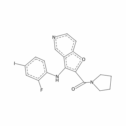 O=C(c1oc2ccncc2c1Nc1ccc(I)cc1F)N1CCCC1